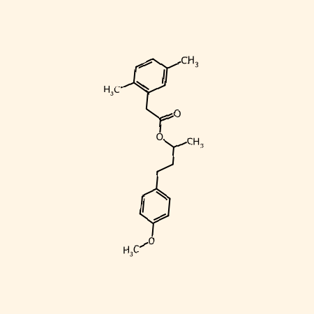 COc1ccc(CCC(C)OC(=O)Cc2cc(C)ccc2C)cc1